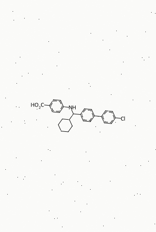 O=C(O)c1ccc(NC(c2ccc(-c3ccc(Cl)cc3)cc2)C2CCCCC2)cc1